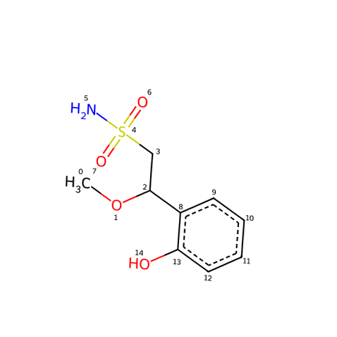 COC(CS(N)(=O)=O)c1ccccc1O